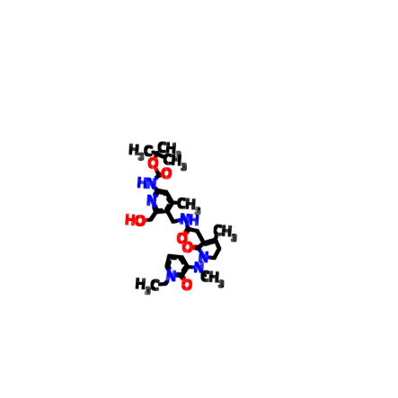 CCn1cccc(N(C)N2CCC(C)=C(CC(=O)NCc3c(C)cc(NC(=O)OC(C)(C)C)nc3CO)C2=O)c1=O